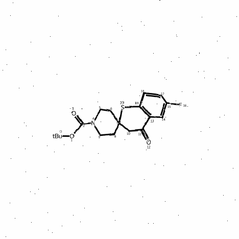 CC(C)(C)OC(=O)N1CCC2(CC1)CC(=O)c1cc(F)ccc1S2